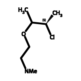 CNCCOC(C)[C@H](C)Cl